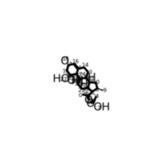 CC(=O)[C@]1(CC(=O)O)[C@H](C)C[C@H]2[C@@H]3CCC4=CC(=O)CC(O)(O)[C@]4(C)[C@H]3CC[C@@]21C